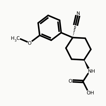 COc1cccc([C@]2(C#N)CC[C@H](NC(=O)O)CC2)c1